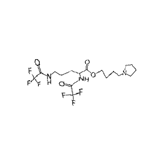 O=C(OCCCCN1CCCC1)C(CCCNC(=O)C(F)(F)F)NC(=O)C(F)(F)F